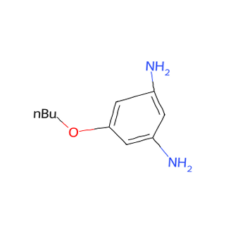 CCCCOc1cc(N)cc(N)c1